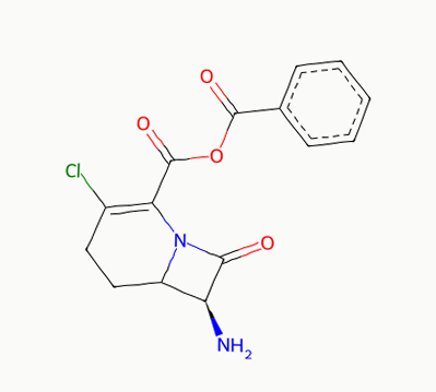 N[C@@H]1C(=O)N2C(C(=O)OC(=O)c3ccccc3)=C(Cl)CCC12